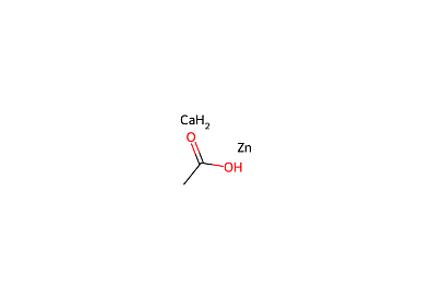 CC(=O)O.[CaH2].[Zn]